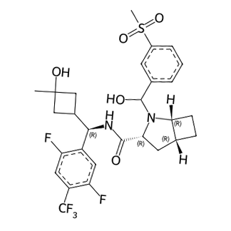 CC1(O)CC([C@@H](NC(=O)[C@H]2C[C@H]3CC[C@H]3N2C(O)c2cccc(S(C)(=O)=O)c2)c2cc(F)c(C(F)(F)F)cc2F)C1